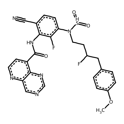 COc1ccc(CC(F)CCN(c2ccc(C#N)c(NC(=O)c3ccnc4cncnc34)c2F)[SH](=O)=O)cc1